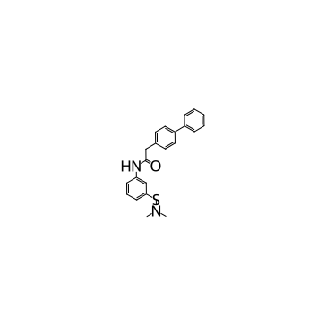 CN(C)Sc1cccc(NC(=O)Cc2ccc(-c3ccccc3)cc2)c1